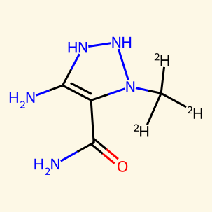 [2H]C([2H])([2H])N1NNC(N)=C1C(N)=O